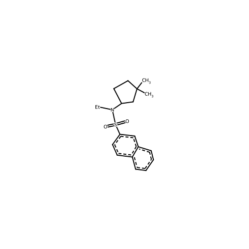 CCN(C1CCC(C)(C)C1)S(=O)(=O)c1ccc2ccccc2c1